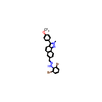 Cn1nc2c(ccc3cc(/C=N/Nc4c(Br)cccc4Br)ccc32)c1-c1ccc(OC(F)(F)F)cc1